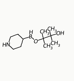 CC(C)(O)C(C)(C)OBC1CCNCC1